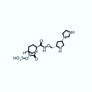 O=C(NOC[C@@H]1C[C@H](N2CCNC2)CN1)[C@@H]1CC[C@@H]2CN1C(=O)N2OS(=O)(=O)O